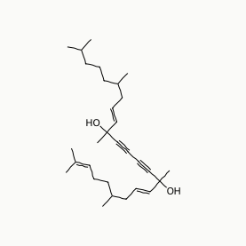 CC(C)=CCCC(C)C/C=C/C(C)(O)C#CC#CC(C)(O)/C=C/CC(C)CCCC(C)C